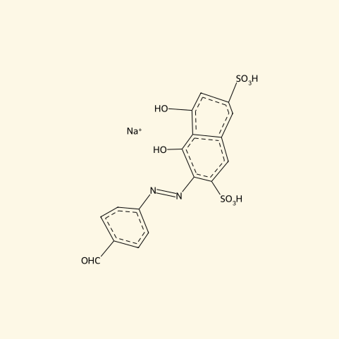 O=Cc1ccc(N=Nc2c(S(=O)(=O)O)cc3cc(S(=O)(=O)O)cc(O)c3c2O)cc1.[Na+]